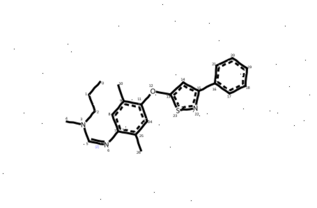 CCCN(C)/C=N\c1cc(C)c(Oc2cc(-c3ccccc3)ns2)cc1C